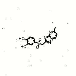 Cc1c[c]n2nc(CS(=O)(=O)c3ccc(O)c(O)c3)nc2n1